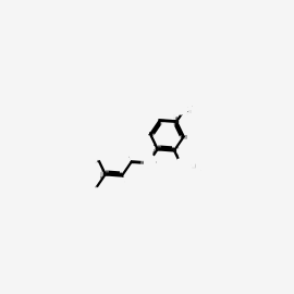 CC(C)=CCOc1ccc(Br)cc1C(C)(C)C